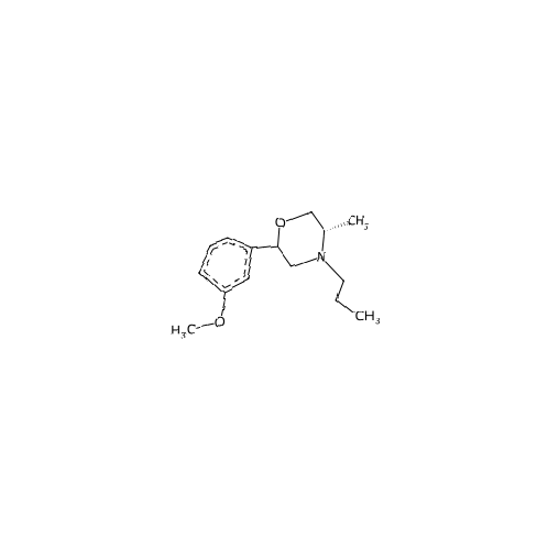 CCCN1CC(c2cccc(OC)c2)OC[C@@H]1C